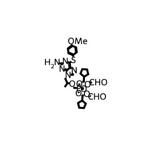 COc1ccc(Sc2nc(N)nc3c2ncn3CC(C)OCP(=O)(OC(OC=O)C2CCCC2)OC(OC=O)C2CCCC2)cc1